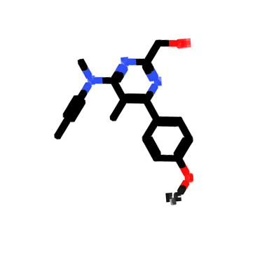 CC#CN(C)c1nc(CO)nc(-c2ccc(OC(F)(F)F)cc2)c1C